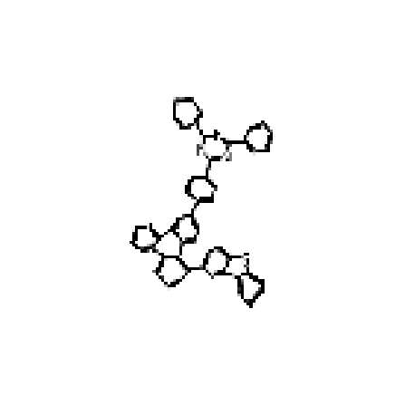 c1ccc(-c2nc(-c3ccccc3)nc(-c3ccc(-c4ccc5c(c4)c4ccccc4c4cccc(-c6ccc7sc8ccccc8c7c6)c45)cc3)n2)cc1